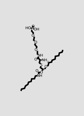 CCCCCCCCCCNC(=O)O[C@H](COCCCCCCCCCC)CSC[C@H](N)C(=O)NCCOCCOCCOCCP(=O)(O)O